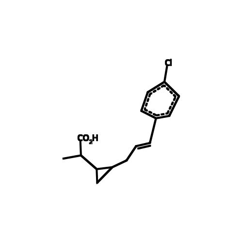 CC(C(=O)O)C1CC1CC=Cc1ccc(Cl)cc1